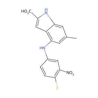 Cc1cc(Nc2ccc(F)c([N+](=O)[O-])c2)c2cc(C(=O)O)[nH]c2c1